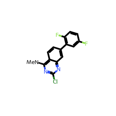 CNc1nc(Cl)nc2cc(-c3cc(F)ccc3F)ccc12